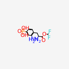 Nc1cc(P(=O)(O)O)ccc1C[C@H](N)C(=O)OC(F)F